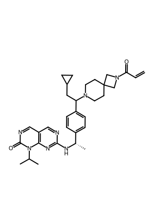 C=CC(=O)N1CC2(CCN(C(CC3CC3)c3ccc([C@H](C)Nc4ncc5cnc(=O)n(C(C)C)c5n4)cc3)CC2)C1